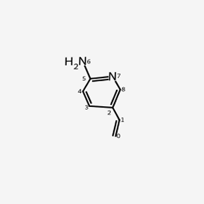 C=Cc1ccc(N)nc1